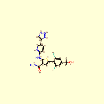 CC(C)(O)c1cc(F)c(-c2cc(C(N)=O)c(Nc3ccc(C4=C[N]N=N4)cn3)s2)c(F)c1